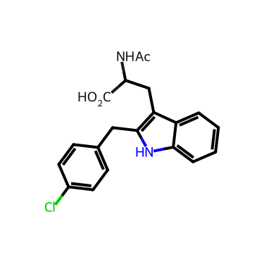 CC(=O)NC(Cc1c(Cc2ccc(Cl)cc2)[nH]c2ccccc12)C(=O)O